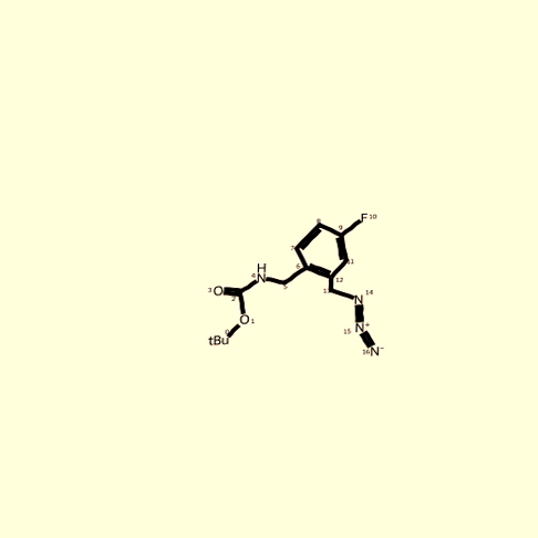 CC(C)(C)OC(=O)NCc1ccc(F)cc1CN=[N+]=[N-]